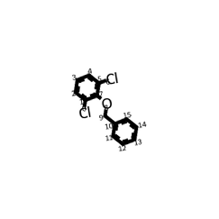 Clc1cccc(Cl)c1OCc1ccccc1